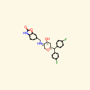 O=c1[nH]c2ccc(CN[C@@H]3CO[C@H](C(c4ccc(F)cc4)c4ccc(F)cc4)C[C@@H]3O)cc2o1